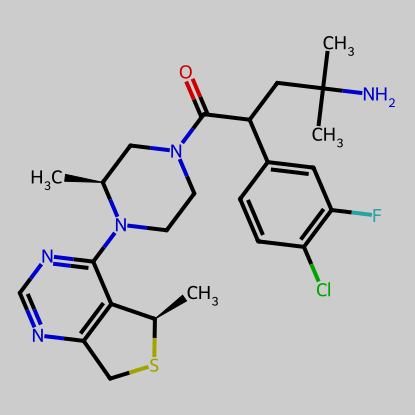 C[C@H]1SCc2ncnc(N3CCN(C(=O)C(CC(C)(C)N)c4ccc(Cl)c(F)c4)C[C@@H]3C)c21